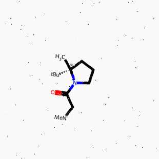 CNCC(=O)N1CCC[C@@]1(C)C(C)(C)C